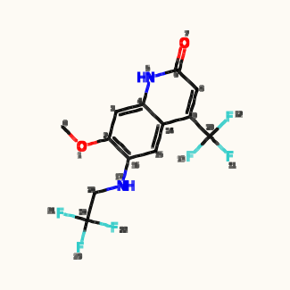 COc1cc2[nH]c(=O)cc(C(F)(F)F)c2cc1NCC(F)(F)F